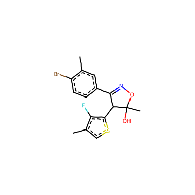 Cc1cc(C2=NOC(C)(O)C2c2scc(C)c2F)ccc1Br